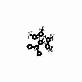 N#Cc1c(-n2c3ccc(C(F)(F)F)cc3c3cc(C(F)(F)F)ccc32)cc(-c2cc(-c3ccccc3)nc(-c3ccccc3)c2)cc1-n1c2ccc(C(F)(F)F)cc2c2cc(C(F)(F)F)ccc21